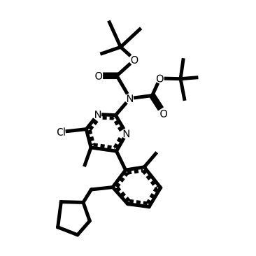 Cc1cccc(CC2CCCC2)c1-c1nc(N(C(=O)OC(C)(C)C)C(=O)OC(C)(C)C)nc(Cl)c1C